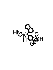 C[C@@](N[C@H]1CCNC1)(c1ccc(S(C)(=O)=O)c(C(=O)O)c1)c1cccc2ccccc12